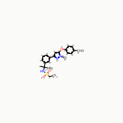 CCCCC(C)(NS(=O)(=O)CC(F)(F)F)c1cccc(-c2cc(Oc3ccc(C=O)cc3)n(CC)n2)c1